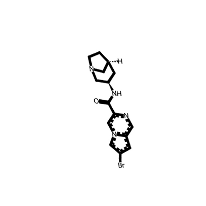 O=C(N[C@@H]1C[C@@H]2CCN(C2)C1)c1cn2cc(Br)cc2cn1